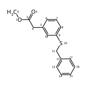 COC(=O)Cc1cccc(SCc2ccccc2)c1